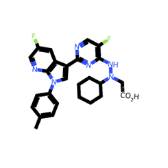 Cc1ccc(-n2cc(-c3ncc(F)c(NN(CC(=O)O)C4CCCCC4)n3)c3cc(F)cnc32)cc1